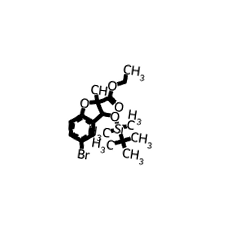 CCOC(=O)C1(C)Oc2ccc(Br)cc2C1O[Si](C)(C)C(C)(C)C